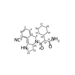 N#Cc1cccc(CN(C(=O)C(C(N)=O)C2CCCCC2)C2CCNC2)c1